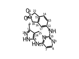 Cc1n[nH]c(Nc2ccnc(Nc3ccc4c(c3)CS(=O)(=O)C4)n2)c1C